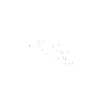 C=C1Cc2ccc(-c3cc(Nc4nc(C)cc(NC)n4)ccc3OC)cc2N1